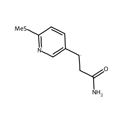 CSc1ccc([CH]CC(N)=O)cn1